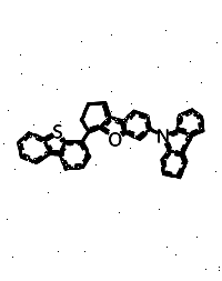 C1=c2c(oc3cc(-n4c5ccccc5c5ccccc54)ccc23)=C(c2cccc3c2sc2ccccc23)CC1